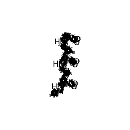 Cc1ccc(CN(C)C[C@H]2Cc3c(cc(Cc4cccnc4CN(C)C[C@H]4Cc5c(cc(Cc6cc(C)cnc6CN(C)C[C@H]6Cc7c(cccc7N7CCS(=O)(=O)CC7)CN6)cc5N5CCS(=O)(=O)CC5)CN4)cc3N3CCS(=O)(=O)CC3)CN2)nc1